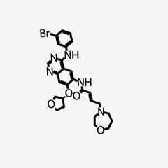 O=C(/C=C/CN1CCCOCC1)Nc1cc2c(Nc3cccc(Br)c3)ncnc2cc1O[C@H]1CCOC1